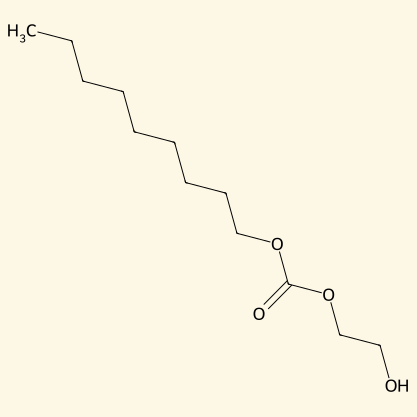 CCCCCCCCCOC(=O)OCCO